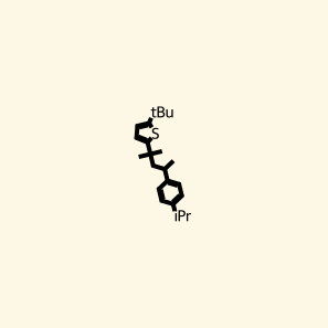 CC(C)c1ccc(C(C)CC(C)(C)c2ccc(C(C)(C)C)s2)cc1